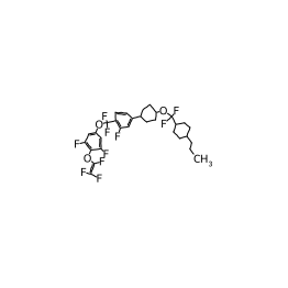 CCCC1CCC(C(F)(F)OC2CCC(c3ccc(C(F)(F)Oc4cc(F)c(OC(F)=C(F)F)c(F)c4)c(F)c3)CC2)CC1